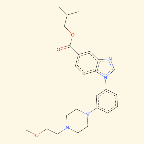 COCCN1CCN(c2cccc(-n3cnc4cc(C(=O)OCC(C)C)ccc43)c2)CC1